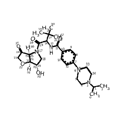 CC(C)N1CCN(c2ccc(C(=O)NC(C(=O)N3C[C@H](O)[C@H]4OCC(=O)[C@H]43)C(C)(C)C)cc2)CC1